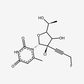 Cc1cc(=O)[nH]c(=O)n1[C@@H]1OC([C@H](C)O)C(O)[C@]1(Cl)C#CCF